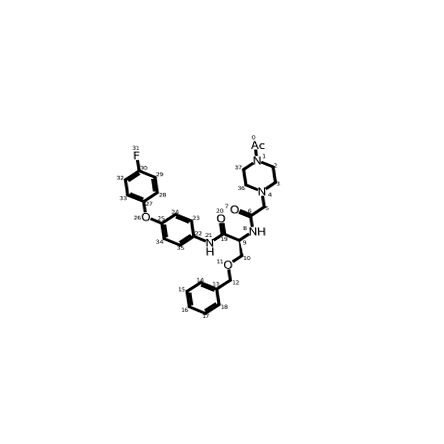 CC(=O)N1CCN(CC(=O)N[C@@H](COCc2ccccc2)C(=O)Nc2ccc(Oc3ccc(F)cc3)cc2)CC1